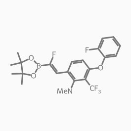 CNc1c(/C=C(\F)B2OC(C)(C)C(C)(C)O2)ccc(Oc2ccccc2F)c1C(F)(F)F